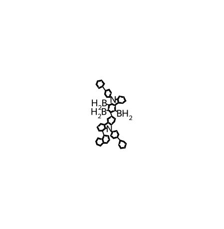 Bc1c(-c2ccc3c(c2)c2cccc(-c4cccc5ccccc45)c2n3-c2ccc(-c3ccccc3)cc2)c(B)c2c3ccccc3n(-c3ccc(-c4ccccc4)cc3)c2c1B